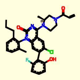 C=CC(=O)N1CCN(c2nc(=O)n(-c3c(C)cccc3CCC)c3cc(-c4c(O)cccc4F)c(Cl)cc23)[C@@H](C)C1